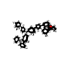 c1ccc(-c2ccc(N(c3ccc(-c4ccc(-c5cccc6c5-c5ccccc5C65C67CC8CC(C6)CC75C8)cc4)cc3)c3ccc4c5ccccc5n(-c5ccccc5)c4c3)cc2)cc1